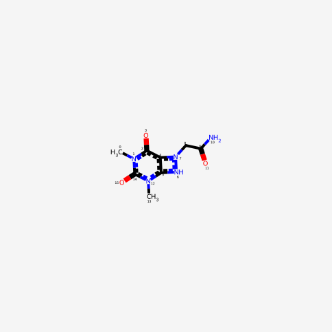 Cn1c(=O)c2c([nH]n2CC(N)=O)n(C)c1=O